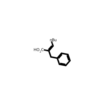 CCCCC=C(Cc1ccccc1)C(=O)O